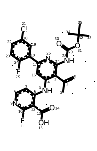 C=C(C)c1c(Nc2ccnc(F)c2C(=O)O)cc(-c2cc(Cl)ccc2F)nc1NC(=O)OC(C)(C)C